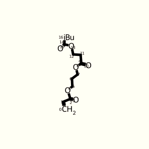 C=CC(=O)OCCCOC(=O)CCOC(=O)C(C)CC